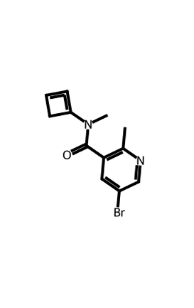 Cc1ncc(Br)cc1C(=O)N(C)C1=C=CC1